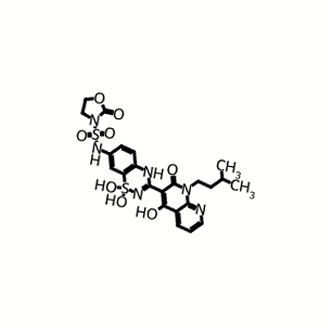 CC(C)CCn1c(=O)c(C2=NS(O)(O)c3cc(NS(=O)(=O)N4CCOC4=O)ccc3N2)c(O)c2cccnc21